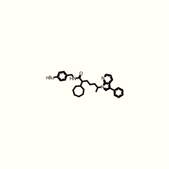 CCCCc1ccc(CNC(=O)C(CCCC(C)n2cc(-c3ccccc3)c3cccnc32)C2CCCCCC2)cc1